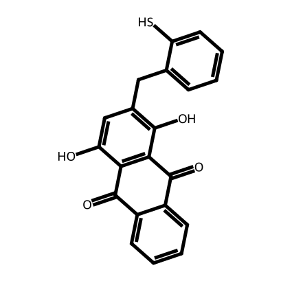 O=C1c2ccccc2C(=O)c2c(O)c(Cc3ccccc3S)cc(O)c21